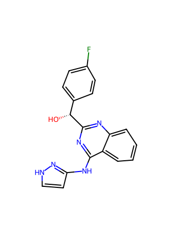 O[C@H](c1ccc(F)cc1)c1nc(Nc2cc[nH]n2)c2ccccc2n1